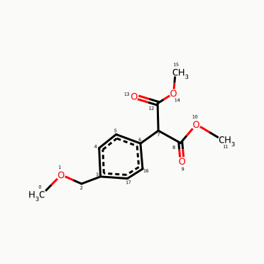 COCc1ccc(C(C(=O)OC)C(=O)OC)cc1